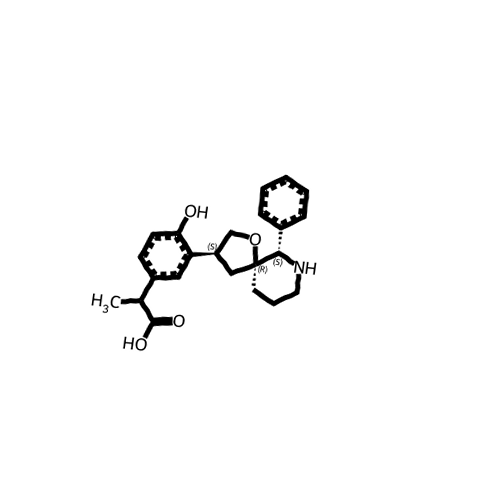 CC(C(=O)O)c1ccc(O)c([C@H]2CO[C@]3(CCCN[C@H]3c3ccccc3)C2)c1